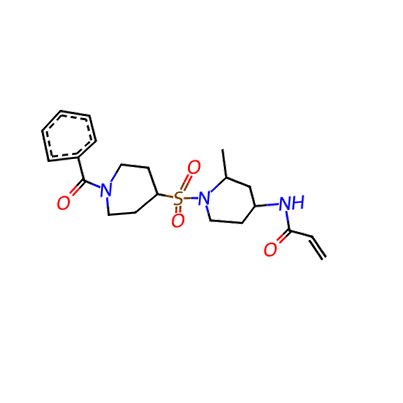 C=CC(=O)NC1CCN(S(=O)(=O)C2CCN(C(=O)c3ccccc3)CC2)C(C)C1